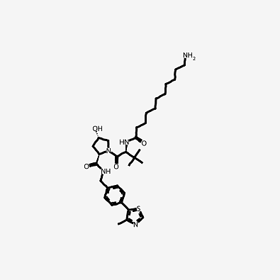 Cc1ncsc1-c1ccc(CNC(=O)[C@H]2C[C@H](O)CN2C(=O)[C@@H](NC(=O)CCCCCCCCCCN)C(C)(C)C)cc1